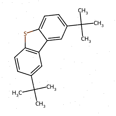 CC(C)(C)c1ccc2sc3ccc(C(C)(C)C)cc3c2c1